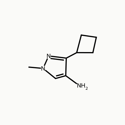 Cn1cc(N)c(C2CCC2)n1